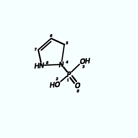 O=P(O)(O)N1CC=CN1